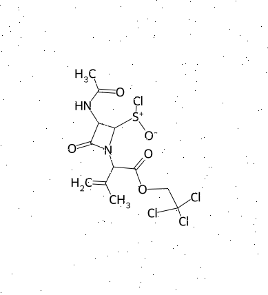 C=C(C)C(C(=O)OCC(Cl)(Cl)Cl)N1C(=O)C(NC(C)=O)C1[S+]([O-])Cl